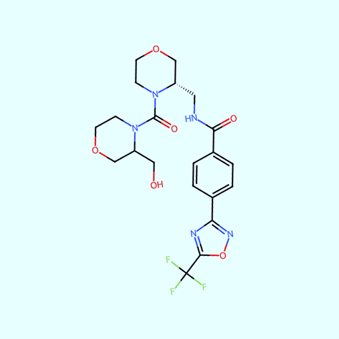 O=C(NC[C@H]1COCCN1C(=O)N1CCOCC1CO)c1ccc(-c2noc(C(F)(F)F)n2)cc1